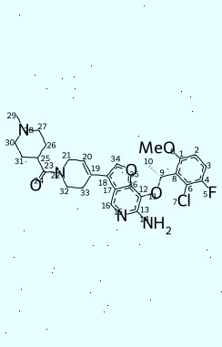 COc1ccc(F)c(Cl)c1[C@@H](C)Oc1c(N)ncc2c(C3=CCN(C(=O)C4CCN(C)CC4)CC3)coc12